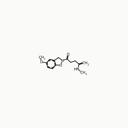 C=C(CCC(=O)N1Cc2cc(OC)ccc2O1)NC